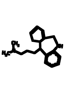 CN(C)CCCC1c2ccccc2NCC2=CC=CCC21